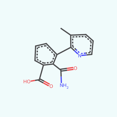 Cc1cccnc1-c1cccc(C(=O)O)c1C(N)=O